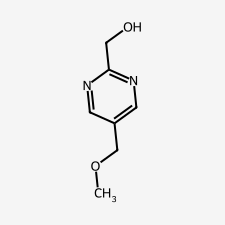 COCc1cnc(CO)nc1